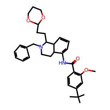 COc1cc(C(C)(C)C)ccc1C(=O)NC1=CC=CC2C1CCN(Cc1ccccc1)C2CCC1OCCCO1